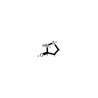 O=C1[CH]CSN1